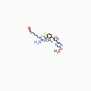 COc1cnc(-c2cc(-c3ccc(F)c([C@]4(C)CSN(CCCCN=C=O)C(N)=N4)c3)on2)cn1